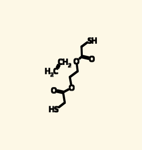 C=C.O=C(CS)OCCOC(=O)CS